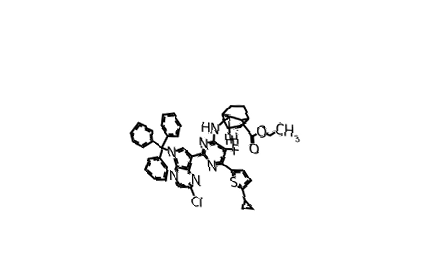 CCOC(=O)[C@@H]1C2CCC(CC2)[C@H]1Nc1nc(-c2cn(C(c3ccccc3)(c3ccccc3)c3ccccc3)c3ncc(Cl)nc23)nc(-c2ccc(C3CC3)s2)c1F